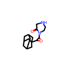 O=C1CNCCN1C1OC1C12CC3CC(CC(C3)C1)C2